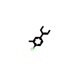 C/C=C(\CC)c1ccc(Cl)c(C)c1